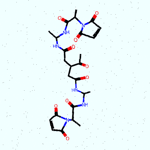 CC(=O)C(CC(=O)NC(C)NC(=O)C(C)N1C(=O)C=CC1=O)CC(=O)NC(C)NC(=O)C(C)N1C(=O)C=CC1=O